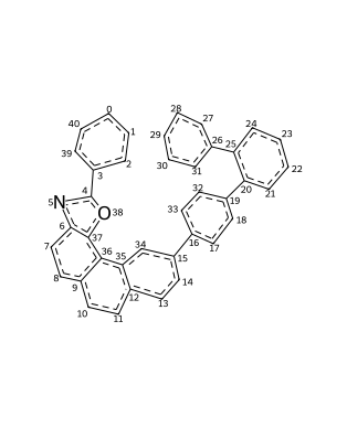 c1ccc(-c2nc3ccc4ccc5ccc(-c6ccc(-c7ccccc7-c7ccccc7)cc6)cc5c4c3o2)cc1